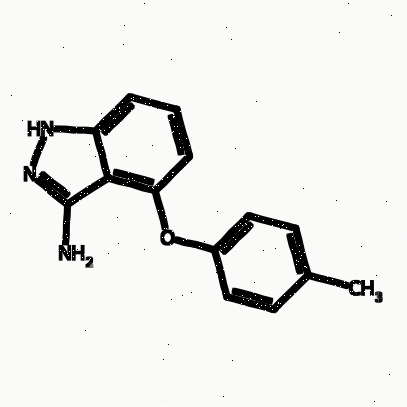 Cc1ccc(Oc2cccc3[nH]nc(N)c23)cc1